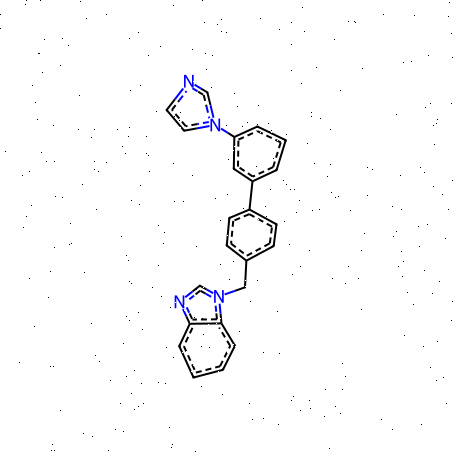 c1cc(-c2ccc(Cn3cnc4ccccc43)cc2)cc(-n2ccnc2)c1